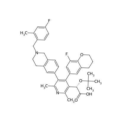 Cc1cc(F)ccc1CN1CCc2cc(-c3c(C)nc(C)c([C@H](OC(C)(C)C)C(=O)O)c3-c3cc(F)c4c(c3)CCCO4)ccc2C1